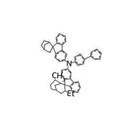 CCC1CC2CC[C@H](C)C(C2)C12c1ccccc1-c1cc(N(c3ccc(-c4ccccc4)cc3)c3ccc4c(c3)-c3ccccc3C43CC4CCC3C4)ccc12